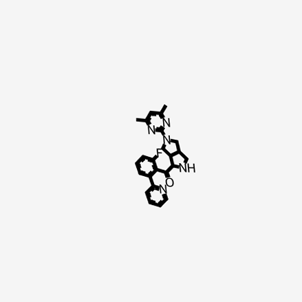 Cc1cc(C)nc(N2CC3CNC(C(=O)c4c(F)cccc4-c4ccccn4)C3C2)n1